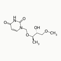 COC[C@@H](O)[C@@H](C)OCn1ccc(=O)[nH]c1=O